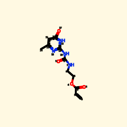 C=CC(=O)OCCNC(=O)Nc1nc(C)cc(=O)[nH]1